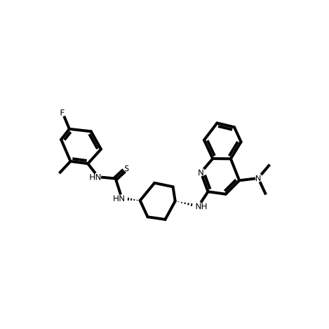 Cc1cc(F)ccc1NC(=S)N[C@H]1CC[C@@H](Nc2cc(N(C)C)c3ccccc3n2)CC1